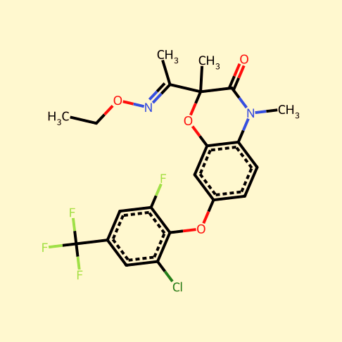 CCON=C(C)C1(C)Oc2cc(Oc3c(F)cc(C(F)(F)F)cc3Cl)ccc2N(C)C1=O